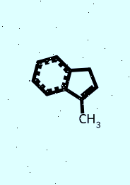 CC1=CCc2cc[c]cc21